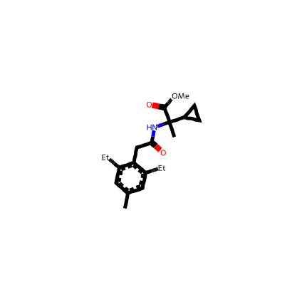 CCc1cc(C)cc(CC)c1CC(=O)NC(C)(C(=O)OC)C1CC1